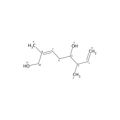 C=CC(C)C(O)CC=C(C)CO